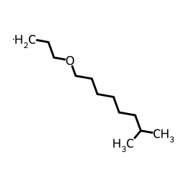 [CH2]CCOCCCCCCC(C)C